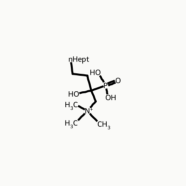 CCCCCCCCCC(O)(C[N+](C)(C)C)P(=O)(O)O